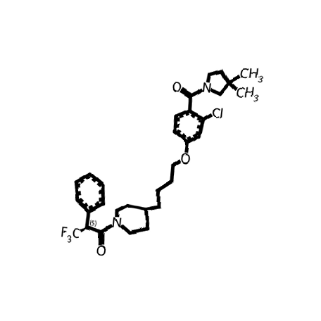 CC1(C)CCN(C(=O)c2ccc(OCCCCC3CCN(C(=O)[C@H](c4ccccc4)C(F)(F)F)CC3)cc2Cl)C1